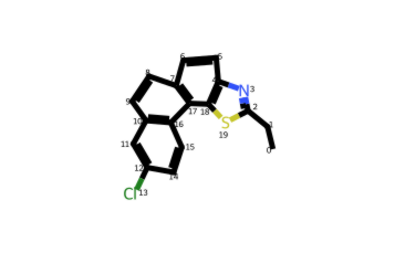 CCc1nc2ccc3ccc4cc(Cl)ccc4c3c2s1